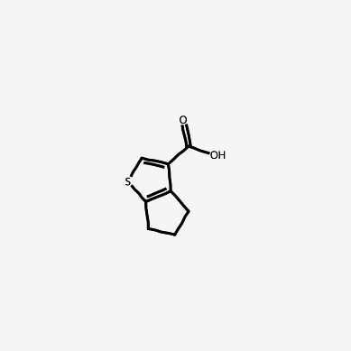 O=C(O)c1csc2c1CCC2